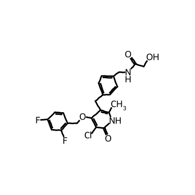 Cc1[nH]c(=O)c(Cl)c(OCc2ccc(F)cc2F)c1Cc1ccc(CNC(=O)CO)cc1